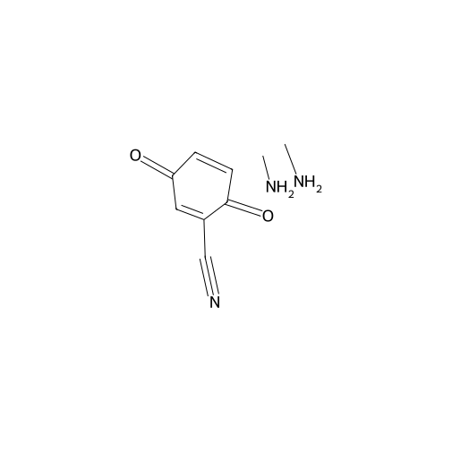 CN.CN.N#CC1=CC(=O)C=CC1=O